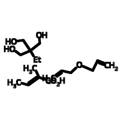 C=CCOCC=C.CC=C(C)C(=O)O.CCC(CO)(CO)CO